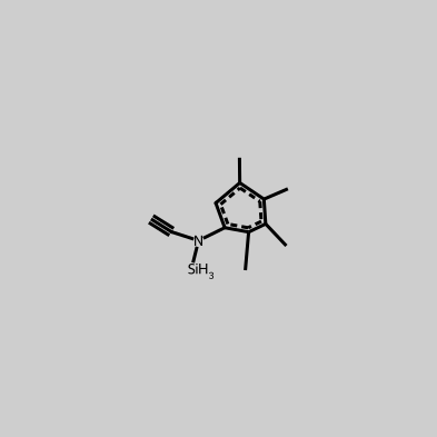 C#CN([SiH3])c1cc(C)c(C)c(C)c1C